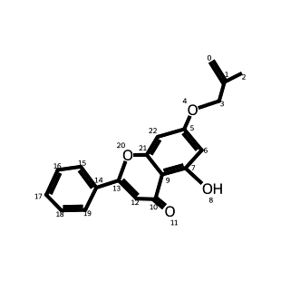 C=C(C)COc1cc(O)c2c(=O)cc(-c3ccccc3)oc2c1